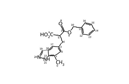 Cc1cc(CC(C(=O)O)C(=O)OCc2ccccc2)cc2cn[nH]c12